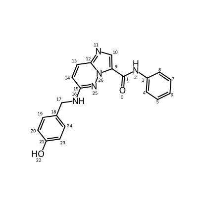 O=C(Nc1ccccc1)c1cnc2ccc(NCc3ccc(O)cc3)nn12